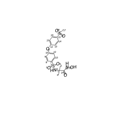 CC(C)(NS(=O)(=O)c1ccc(Oc2ccc(S(C)(=O)=O)cc2)cc1)C(=O)NO